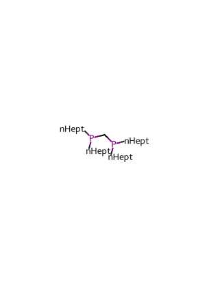 CCCCCCCP(CCCCCCC)CP(CCCCCCC)CCCCCCC